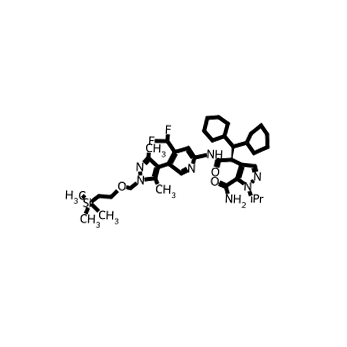 Cc1nn(COCC[Si](C)(C)C)c(C)c1-c1cnc(NC(=O)[C@H](c2cnn(C(C)C)c2C(N)=O)C(C2CCCCC2)C2CCCCC2)cc1C(F)F